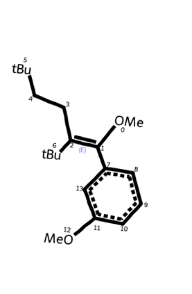 CO/C(=C(\CCC(C)(C)C)C(C)(C)C)c1cccc(OC)c1